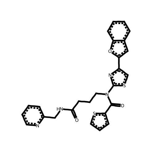 O=C(CCCN(C(=O)c1cccs1)c1nc(-c2cc3ccccc3o2)cs1)NCc1ccccn1